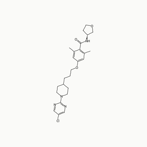 Cc1cc(OCCCC2CCN(c3ncc(Cl)cn3)CC2)cc(C)c1C(=O)N[C@H]1CCOC1